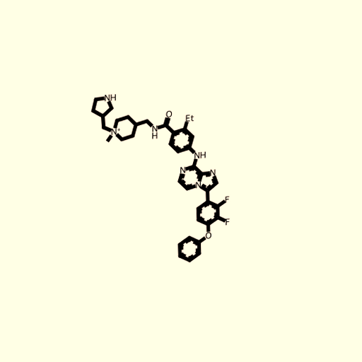 CCc1cc(Nc2nccn3c(-c4ccc(Oc5ccccc5)c(F)c4F)cnc23)ccc1C(=O)NCC1CC[N+](C)(CC2CCNC2)CC1